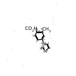 Cc1cc(-n2ccnn2)ccc1C(=O)O